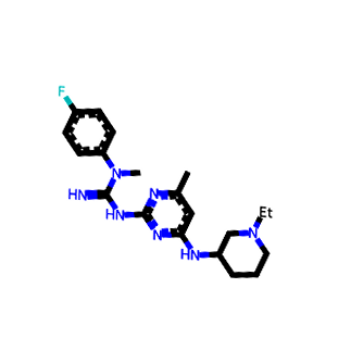 CCN1CCCC(Nc2cc(C)nc(NC(=N)N(C)c3ccc(F)cc3)n2)C1